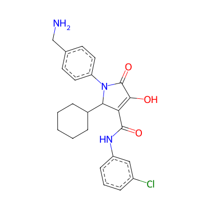 NCc1ccc(N2C(=O)C(O)=C(C(=O)Nc3cccc(Cl)c3)C2C2CCCCC2)cc1